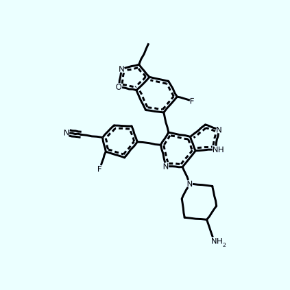 Cc1noc2cc(-c3c(-c4ccc(C#N)c(F)c4)nc(N4CCC(N)CC4)c4[nH]ncc34)c(F)cc12